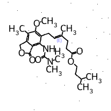 COc1c(C)c2c(c(NC(=O)N(C)C)c1C/C=C(\C)CCC(=O)OCCC(C)C)C(=O)OC2